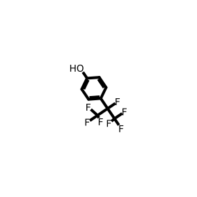 Oc1ccc(C(F)(C(F)(F)F)C(F)(F)F)cc1